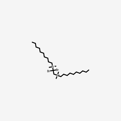 CCCCCCCCCC[N+](C)(C)CC(Br)(Br)[N+](C)(C)CCCCCCCCCC